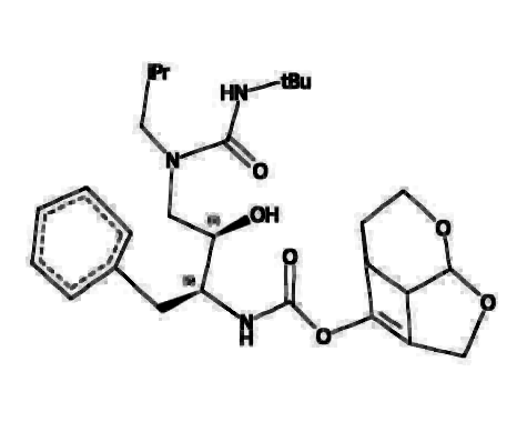 CC(C)CN(C[C@@H](O)[C@H](Cc1ccccc1)NC(=O)OC1=C2COC3OCC1CC23)C(=O)NC(C)(C)C